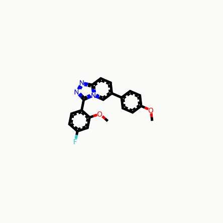 COc1ccc(-c2ccc3nnc(-c4ccc(F)cc4OC)n3c2)cc1